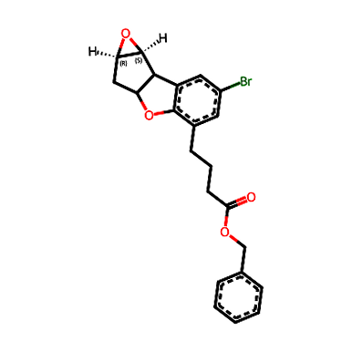 O=C(CCCc1cc(Br)cc2c1OC1C[C@H]3O[C@H]3C21)OCc1ccccc1